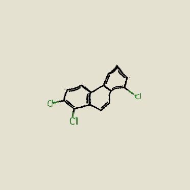 Clc1[c]cc2c(ccc3c(Cl)[c]ccc32)c1Cl